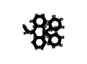 C=NN1c2ccccc2[Si](c2ccccc2)(c2ccccc2)c2ccccc21